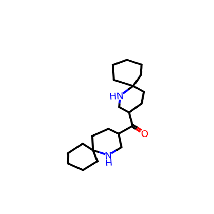 O=C(C1CCC2(CCCCC2)NC1)C1CCC2(CCCCC2)NC1